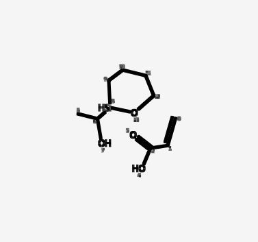 C=CC(=O)O.CC(O)[SiH]1CCCCO1